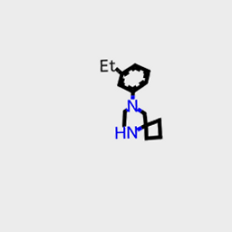 CCc1cccc(N2CCNC3(CCC3)C2)c1